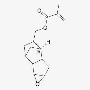 C=C(C)C(=O)OCC1CC2C[C@@H]1C1CC3OC3C21